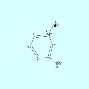 CCCc1ccc[n+](CCC)c1